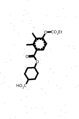 CCOC(=O)Oc1ccc(C(=O)OC2CCC(C(=O)O)CC2)c(C)c1C